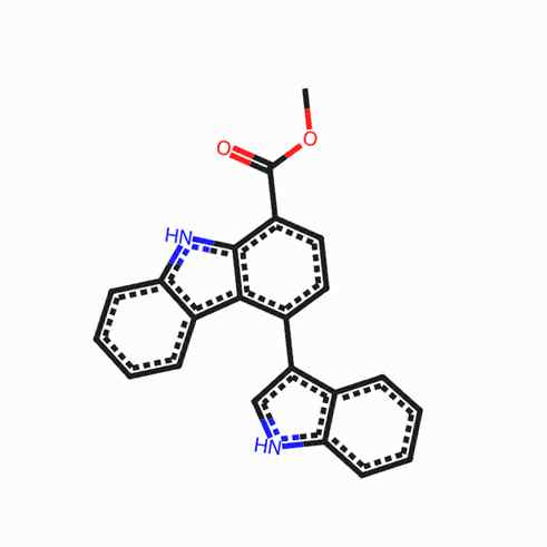 COC(=O)c1ccc(-c2c[nH]c3ccccc23)c2c1[nH]c1ccccc12